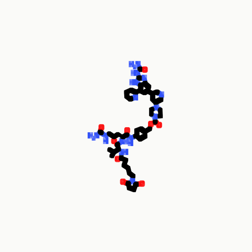 CC(C)[C@H](NC(=O)CCCCCN1C(=O)C=CC1=O)C(=O)N[C@@H](CCCNC(N)=O)C(=O)Nc1ccc(COC(=O)N2CCN(c3cncc(-c4cc(-c5ccccn5)c5[nH]c(NC(N)=O)nc5c4)c3)CC2)cc1